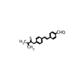 C=C(C)C(=S)Cc1ccc(/C=C/c2ccc(C=O)cc2)cc1